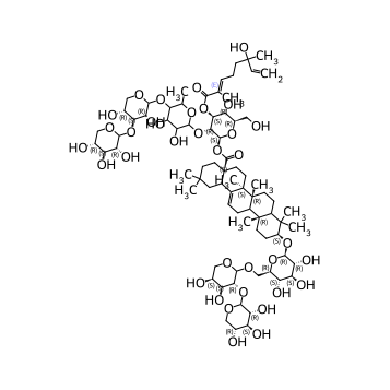 C=CC(C)(O)CC/C=C(\C)C(=O)O[C@H]1[C@H](O)[C@@H](CO)O[C@@H](OC(=O)[C@]23CCC(C)(C)CC2C2=CCC4[C@@]5(C)CC[C@H](O[C@@H]6O[C@H](COC7OC[C@H](O)[C@H](O)[C@H]7OC7OC[C@@H](O)[C@H](O)[C@H]7O)[C@@H](O)[C@H](O)[C@H]6O)C(C)(C)C5CC[C@@]4(C)[C@]2(C)CC3)[C@@H]1OC1OC(C)C(OC2OC[C@@H](O)[C@H](OC3OC[C@@H](O)[C@H](O)[C@H]3O)[C@H]2O)C(O)C1O